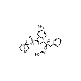 Nc1ccc2c(c1)c(C(=O)N[C@@H]1CN3CCC1CC3)nn2S(=O)(=O)Cc1ccccc1.O=CO